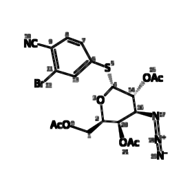 CC(=O)OC[C@H]1O[C@H](Sc2ccc(C#N)c(Br)c2)[C@H](OC(C)=O)[C@@H](N=[N+]=[N-])[C@H]1OC(C)=O